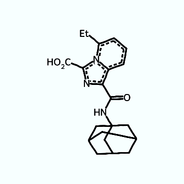 CCc1cccc2c(C(=O)NC34CC5CC(CC(C5)C3)C4)nc(C(=O)O)n12